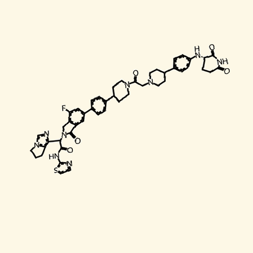 O=C1CC[C@H](Nc2ccc(C3CCN(CC(=O)N4CCC(c5ccc(-c6cc(F)c7c(c6)C(=O)N(C(C(=O)Nc6nccs6)c6ncn8c6CCC8)C7)cc5)CC4)CC3)cc2)C(=O)N1